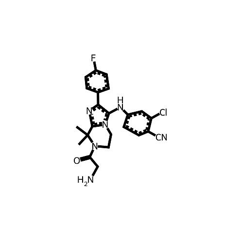 CC1(C)c2nc(-c3ccc(F)cc3)c(Nc3ccc(C#N)c(Cl)c3)n2CCN1C(=O)CN